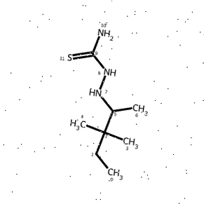 CCC(C)(C)C(C)NNC(N)=S